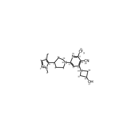 Cc1cnn(C)c1C1CCN(c2cc(N3CC(O)C3)c(C#N)c(C(F)(F)F)n2)CC1